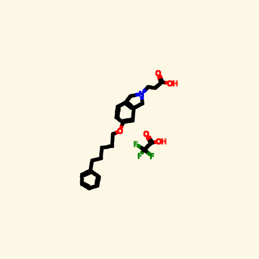 O=C(O)C(F)(F)F.O=C(O)CCN1Cc2ccc(OCCCCCc3ccccc3)cc2C1